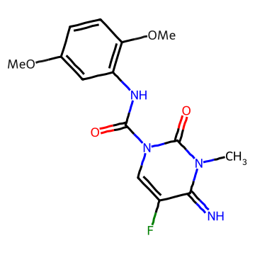 COc1ccc(OC)c(NC(=O)n2cc(F)c(=N)n(C)c2=O)c1